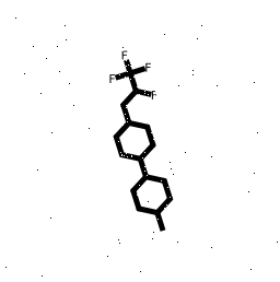 CC1CCC(C2CCC(CC(F)C(F)(F)F)CC2)CC1